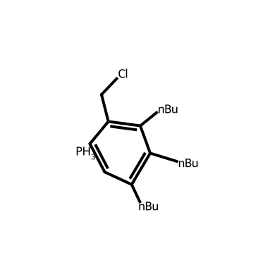 CCCCc1ccc(CCl)c(CCCC)c1CCCC.P